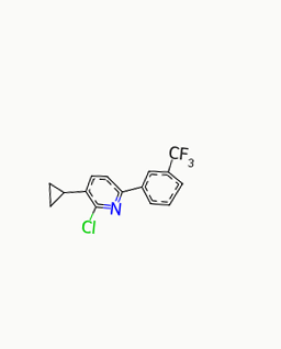 FC(F)(F)c1cccc(-c2ccc(C3CC3)c(Cl)n2)c1